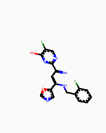 N=C(/C=C(\NCc1ccccc1F)c1cnco1)c1ncc(F)c(O)n1